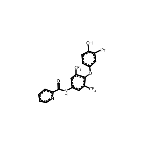 CC(C)c1cc(Oc2c(C(F)(F)F)cc(NC(=O)c3ccccn3)cc2C(F)(F)F)ccc1O